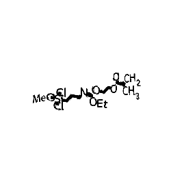 C=C(C)C(=O)OCCOC(=NCCC[Si](Cl)(Cl)OC)OCC